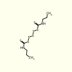 CCCNC(=S)SSSSSC(=S)NCCC